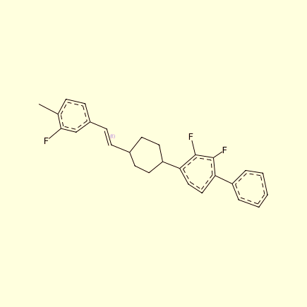 Cc1ccc(/C=C/C2CCC(c3ccc(-c4ccccc4)c(F)c3F)CC2)cc1F